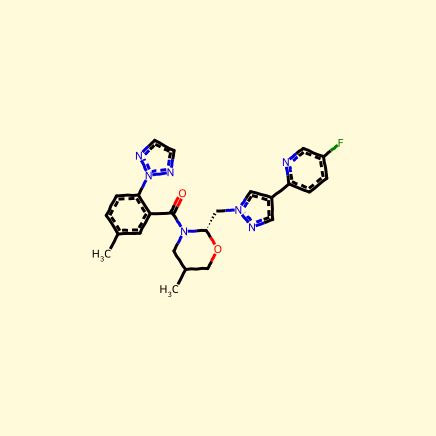 Cc1ccc(-n2nccn2)c(C(=O)N2CC(C)CO[C@H]2Cn2cc(-c3ccc(F)cn3)cn2)c1